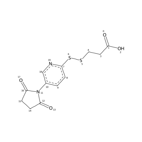 O=C(O)CCSSc1ccc(N2C(=O)CCC2=O)cn1